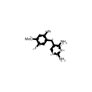 COc1cc(C(C)C)c(Cc2cnc(N)nc2N)cc1F